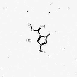 CCOC(=N)c1cc([N+](=O)[O-])cn1C.Cl